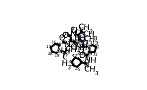 C/C(=C\C(C(C)C)N(C)C(=O)[C@@H](NC(=O)[C@H]1CCCCN1C(C)C)C(C)(C)C)C(=O)N1CCC[C@H]1C(=O)N[C@@H](C)C1CCCCC1